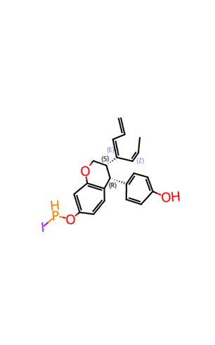 C=C/C=C(\C=C/C)[C@H]1COc2cc(OPI)ccc2[C@H]1c1ccc(O)cc1